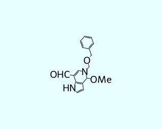 COC1c2cc[nH]c2C(C=O)=CN1COCc1ccccc1